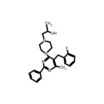 Cc1nc(-c2ccccc2)nc(N2CCN(CC(C)O)CC2)c1Cc1ccccc1F